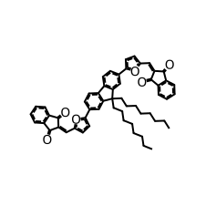 CCCCCCCCC1(CCCCCCCC)c2cc(-c3ccc(C=C4C(=O)c5ccccc5C4=O)o3)ccc2-c2ccc(-c3ccc(C=C4C(=O)c5ccccc5C4=O)o3)cc21